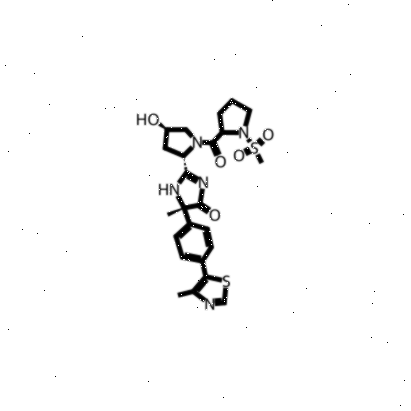 Cc1ncsc1-c1ccc([C@]2(C)NC([C@@H]3C[C@@H](O)CN3C(=O)C3CCCN3S(C)(=O)=O)=NC2=O)cc1